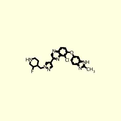 Cc1nc2ccc(Oc3ccc4ncc(-c5cnn(CC6CCNCC6F)c5)nc4c3Cl)cc2[nH]1